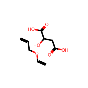 C=CCOC=C.O=C(O)CC(O)C(=O)O